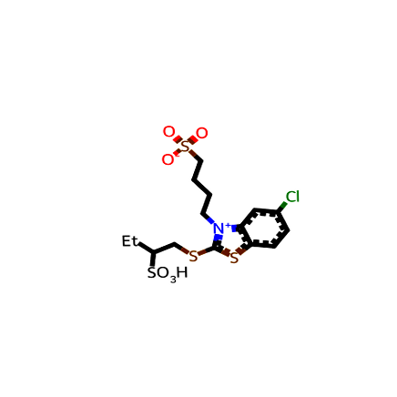 CCC(CSc1sc2ccc(Cl)cc2[n+]1CCCCS(=O)(=O)[O-])S(=O)(=O)O